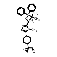 Cn1c(CO[Si](c2ccccc2)(c2ccccc2)C(C)(C)C)nnc1[C@H]1CC[C@H](C2(C=O)CO2)CC1